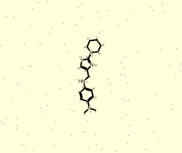 CN(C)c1ccc(NCc2csc(N3CCCCC3)n2)cc1